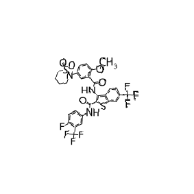 COc1ccc(N2CCCCS2(=O)=O)cc1C(=O)Nc1c(C(=O)Nc2ccc(F)c(C(F)(F)F)c2)sc2cc(C(F)(F)F)ccc12